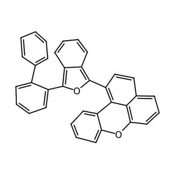 c1ccc(-c2ccccc2-c2oc(-c3ccc4cccc5c4c3-c3ccccc3O5)c3ccccc23)cc1